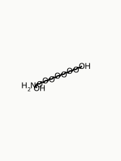 NC(O)COCCOCCOCCOCCOCCOCCOCCO